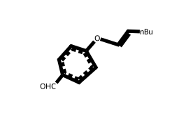 CCCCC=COc1ccc(C=O)cc1